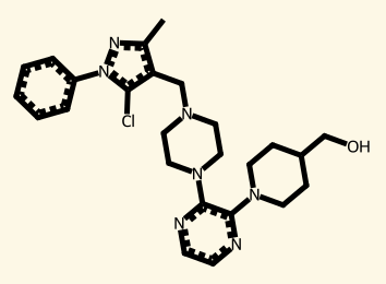 Cc1nn(-c2ccccc2)c(Cl)c1CN1CCN(c2nccnc2N2CCC(CO)CC2)CC1